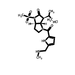 CNCc1ccc(C(=O)N2CC[C@@H]3[C@@H]2[C@H](C(C)C)C(=O)N3S(C)(=O)=O)[nH]1.Cl